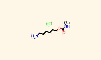 CC(C)(C)NC(=O)OCCCCCCN.Cl